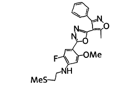 COc1cc(NCCSC)c(F)cc1-c1nnc(-c2c(-c3ccccc3)noc2C)o1